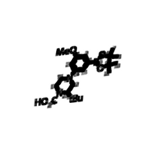 COc1cc(B2OC(C)(C)C(C)(C)O2)cc(N2CCN(C(=O)O)C(C(C)(C)C)C2)c1